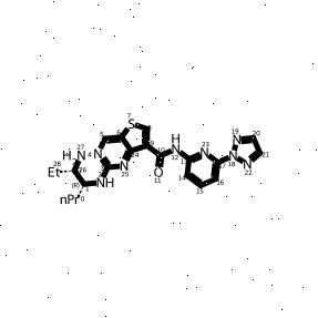 CCC[C@@H](Nc1ncc2scc(C(=O)Nc3cccc(-n4nccn4)n3)c2n1)[C@@H](N)CC